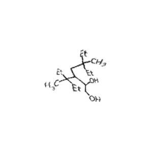 CCC(C)(CC)CC(C(O)CO)C(C)(CC)CC